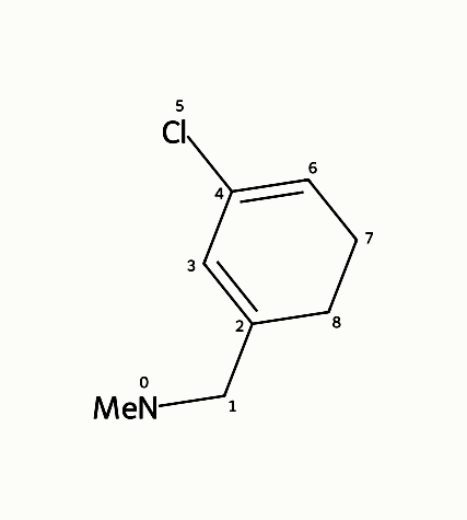 CNCC1=CC(Cl)=CCC1